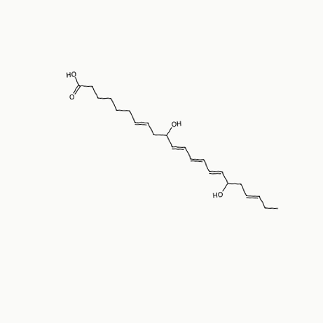 CCC=CCC(O)C=CC=CC=CC(O)CC=CCCCCCC(=O)O